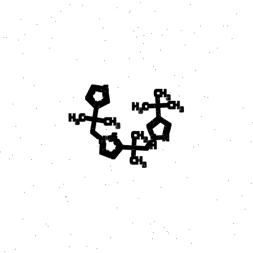 CC(C)(C)C1=C[SH](CC(C)(C)c2cc[n+](CC(C)(C)c3ccsc3)s2)N=C1